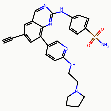 C#Cc1cc(-c2ccc(NCCN3CCCC3)nc2)c2nc(Nc3ccc(S(N)(=O)=O)cc3)ncc2c1